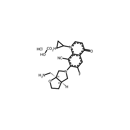 Cl.N#Cc1c(N2C[C@H]3CCO[C@@]3(CN)C2)c(F)cc2c(=O)ccn(C3CC3)c12.O=C(O)O